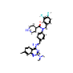 Cc1ccc2c(NCc3ccc(N(Cc4ccc(F)c(F)c4)C(=O)C4CCNCC4)cc3)nc(N(C)C)nc2c1